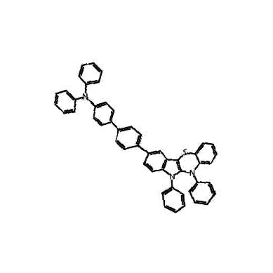 c1ccc(N(c2ccccc2)c2ccc(-c3ccc(-c4ccc5c(c4)c4c(n5-c5ccccc5)N(c5ccccc5)c5ccccc5S4)cc3)cc2)cc1